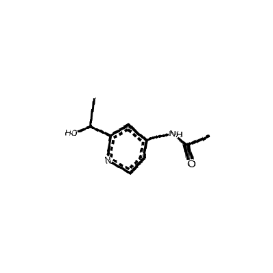 CC(=O)Nc1ccnc(C(C)O)c1